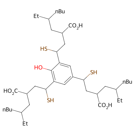 CCCCC(CC)CC(CC(S)c1cc(C(S)CC(CC(CC)CCCC)C(=O)O)c(O)c(C(S)CC(CC(CC)CCCC)C(=O)O)c1)C(=O)O